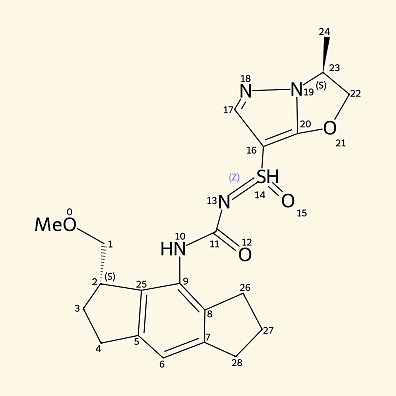 COC[C@H]1CCc2cc3c(c(NC(=O)/N=[SH](=O)/c4cnn5c4OC[C@@H]5C)c21)CCC3